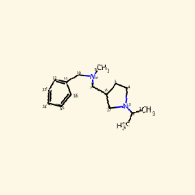 CC(C)N1CCC(CN(C)Cc2ccccc2)C1